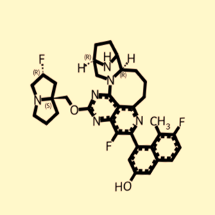 Cc1c(F)ccc2cc(O)cc(-c3nc4c5c(nc(OC[C@@]67CCCN6C[C@H](F)C7)nc5c3F)N3C[C@H]5CCC(N5)[C@H]3CCC4)c12